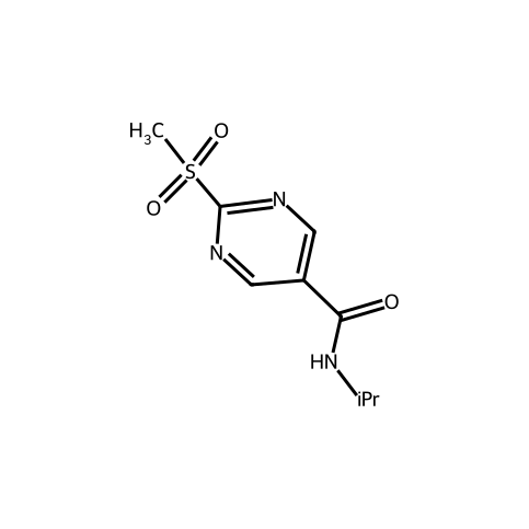 CC(C)NC(=O)c1cnc(S(C)(=O)=O)nc1